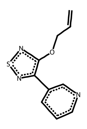 C=CCOc1nsnc1-c1cccnc1